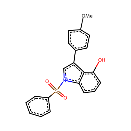 COc1ccc(-c2cn(S(=O)(=O)c3ccccc3)c3cccc(O)c23)cc1